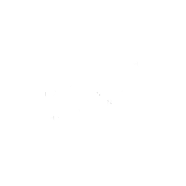 COc1c(C)ccc2c(C)cnn12